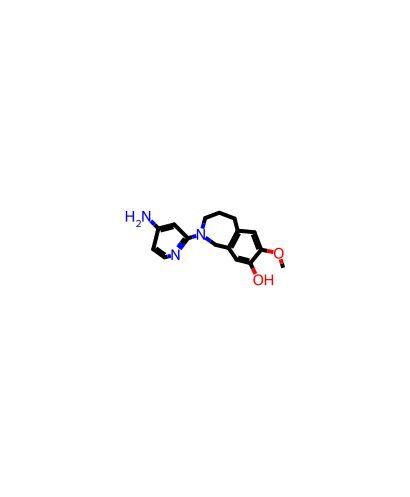 COc1cc2c(cc1O)CN(c1cc(N)ccn1)CCC2